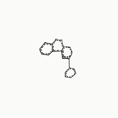 [c]1ccc(-c2ccc3ncc4ccccc4c3c2)cc1